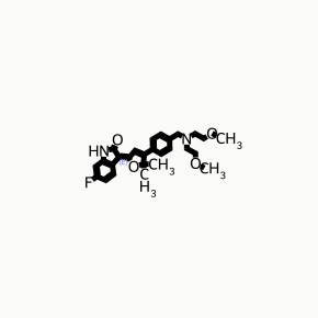 COCCN(CCOC)Cc1ccc(C2=C/C(=C3\C(=O)Nc4cc(F)ccc43)OC2(C)C)cc1